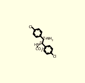 N[C@@H](c1ccc(Cl)cc1)[C@H](NC(=O)O)c1ccc(Cl)cc1